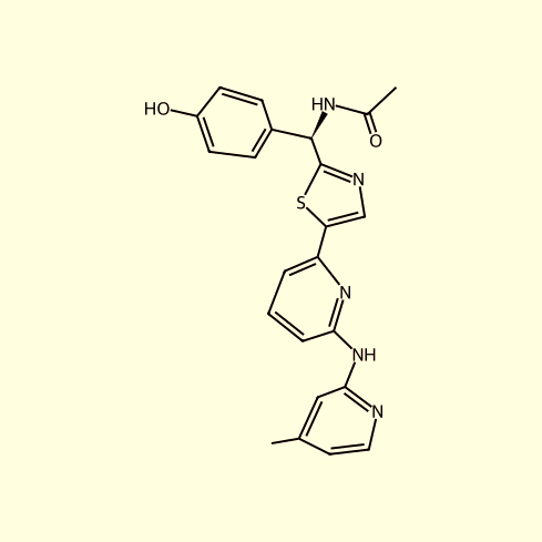 CC(=O)N[C@H](c1ccc(O)cc1)c1ncc(-c2cccc(Nc3cc(C)ccn3)n2)s1